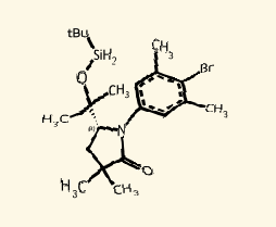 Cc1cc(N2C(=O)C(C)(C)C[C@@H]2C(C)(C)O[SiH2]C(C)(C)C)cc(C)c1Br